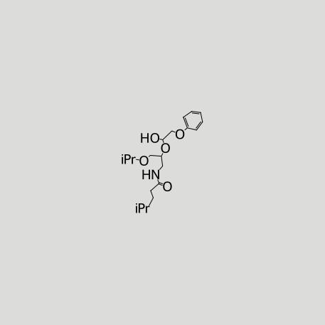 CC(C)CCC(=O)NCC(COC(C)C)OC(O)COc1ccccc1